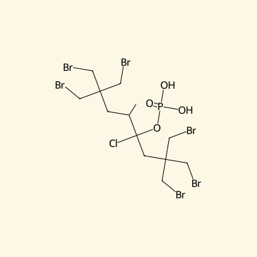 CC(CC(CBr)(CBr)CBr)C(Cl)(CC(CBr)(CBr)CBr)OP(=O)(O)O